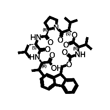 CC(C)C[C@H](NC(=O)[C@H]1CCCN1C(=O)[C@@H](OC(=O)[C@H](NC(=O)OCC1c2ccccc2-c2ccccc21)C(C)C)C(C)C)C(=O)N[C@@H](C(=O)O)C(C)C